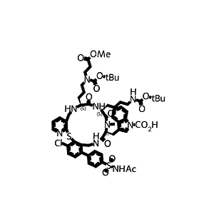 COC(=O)CCN(CCC[C@@H]1NCc2cccnc2Sc2c(Cl)ccc(-c3ccc(S(=O)(=O)NC(C)=O)cc3)c2CNC(=O)[C@H](Cc2cn(C(=O)O)c3ccccc23)N(C)C(=O)[C@H](CCCCNC(=O)OC(C)(C)C)NC1=O)C(=O)OC(C)(C)C